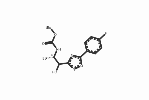 CC[C@H](NC(=O)OC(C)(C)C)C(O)c1noc(-c2ccc(F)cc2)n1